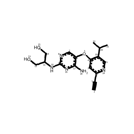 C#Cc1cc(Oc2cnc(NC(CO)CO)nc2N)c(C(C)C)cn1